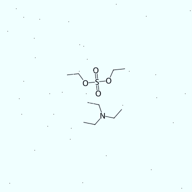 CCN(CC)CC.CCOS(=O)(=O)OCC